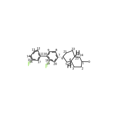 CC1CC[C@@H]2C[C@H](c3ccc(-c4cccc(F)c4)c(F)c3)CC[C@@H]2C1